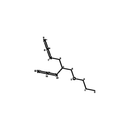 CCCOCC(CN=[N+]=[N-])N=[N+]=[N-]